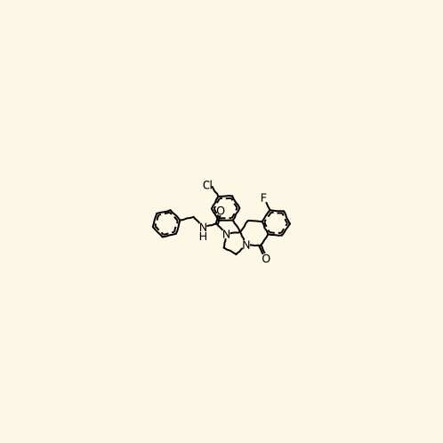 O=C(NCc1ccccc1)N1CCN2C(=O)c3cccc(F)c3CC12c1ccc(Cl)cc1